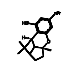 CCCc1cc(O)c2c(c1)O[C@]1(C)CCC3C1[C@H]2C3(C)C